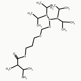 CC(N)C(C)C(=O)SCCCOCOP(N(C(C)C)C(C)C)N(C(C)C)C(C)C